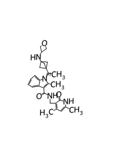 Cc1cc(C)c(CNC(=O)c2c(C)n([C@H](C)C34CC(NC5COC5)(C3)C4)c3ccccc23)c(=O)[nH]1